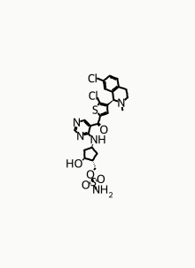 CN1CCc2ccc(Cl)cc2[C@@H]1c1cc(C(=O)c2cncnc2N[C@@H]2C[C@H](COS(N)(=O)=O)[C@@H](O)C2)sc1Cl